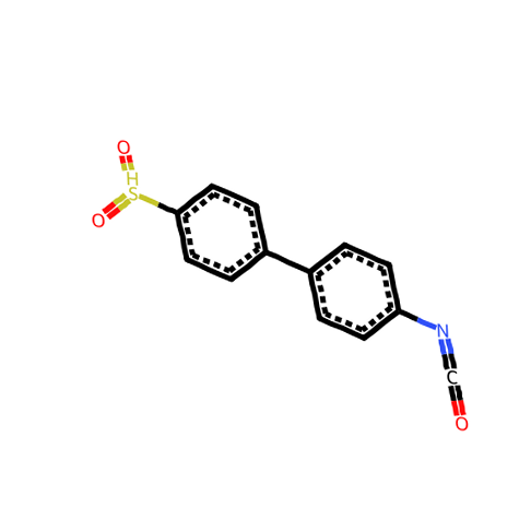 O=C=Nc1ccc(-c2ccc([SH](=O)=O)cc2)cc1